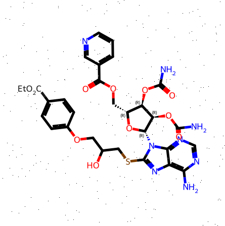 CCOC(=O)c1ccc(OCC(O)CSc2nc3c(N)ncnc3n2[C@@H]2O[C@H](COC(=O)c3cccnc3)[C@@H](OC(N)=O)[C@H]2OC(N)=O)cc1